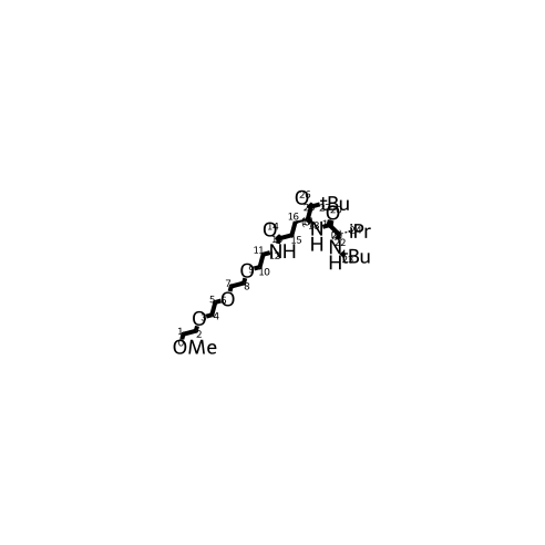 COCCOCCOCCOCCNC(=O)CC[C@H](NC(=O)[C@@H](NC(C)(C)C)C(C)C)C(=O)C(C)(C)C